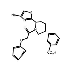 O=C(COc1ccccc1)N1CCCCC1c1n[c]([Na])cs1.O=C(O)c1ccccc1